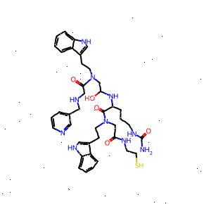 NC(=O)NCCCC(NC(O)CN(CCc1c[nH]c2ccccc12)C(=O)CNCc1cccnc1)C(=O)N(CCc1c[nH]c2ccccc12)CC(=O)NCCS